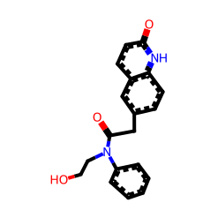 O=C(Cc1ccc2[nH]c(=O)ccc2c1)N(CCO)c1ccccc1